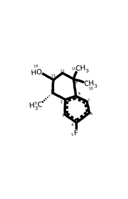 C[C@H]1c2cc(F)ccc2C(C)(C)CC1O